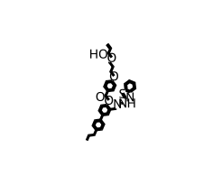 C=CC(O)OCCCOc1ccc(C(=O)Oc2ccc(-c3ccc(CCC)cc3)cc2/C=N/Nc2nc3ccccc3s2)cc1